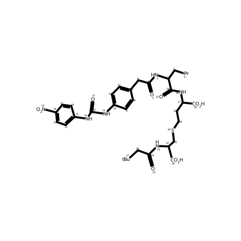 CC(C)CC(NC(=O)Cc1ccc(NC(=O)Nc2ccc([N+](=O)[O-])cc2)cc1)C(=O)NC(CCSCC(NC(=O)CC(C)(C)C)C(=O)O)C(=O)O